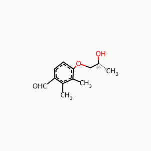 Cc1c(C=O)ccc(OC[C@@H](C)O)c1C